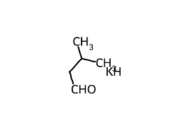 CC(C)CC=O.[KH]